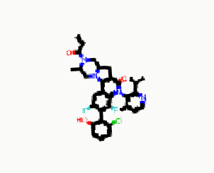 C=CC(=O)N1CC2Cc3c(c4cc(F)c(-c5c(O)cccc5Cl)c(F)c4n(-c4c(C)ccnc4C(C)C)c3=O)N2CC1C